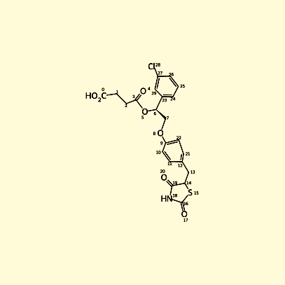 O=C(O)CCC(=O)O[C@H](COc1ccc(CC2SC(=O)NC2=O)cc1)c1cccc(Cl)c1